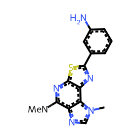 CNc1nc2sc(-c3cccc(N)c3)nc2c2c1ncn2C